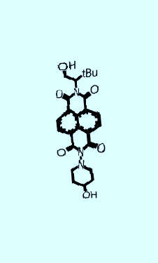 CC(C)(C)C(CO)N1C(=O)c2ccc3c4c(ccc(c24)C1=O)C(=O)N(N1CCC(O)CC1)C3=O